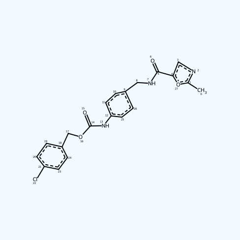 Cc1ncc(C(=O)NCc2ccc(NC(=O)OCc3ccc(Cl)cc3)cc2)o1